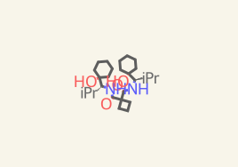 CC(C)[C@@H](NC(=O)C1(C(=O)N[C@H](C(C)C)C2(O)CCCCC2)CCC1)C1(O)CCCCC1